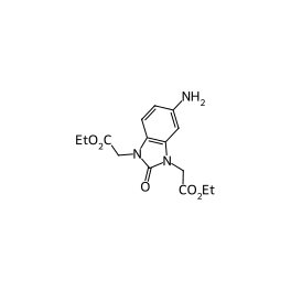 CCOC(=O)Cn1c(=O)n(CC(=O)OCC)c2cc(N)ccc21